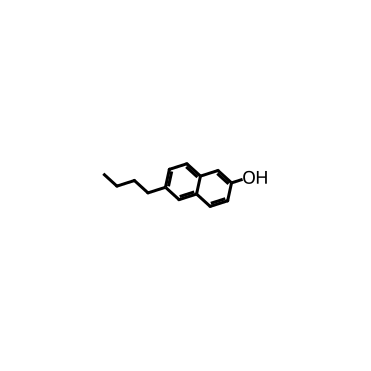 CCCCc1ccc2cc(O)ccc2c1